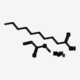 C=CC(=O)OC.CCCCCCCCCC(=O)O.[MgH2]